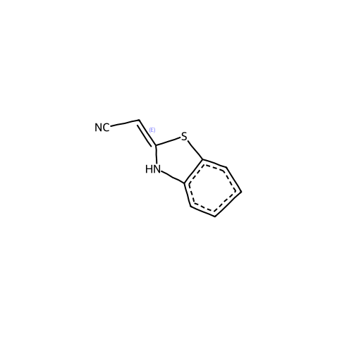 N#C/C=C1\Nc2ccccc2S1